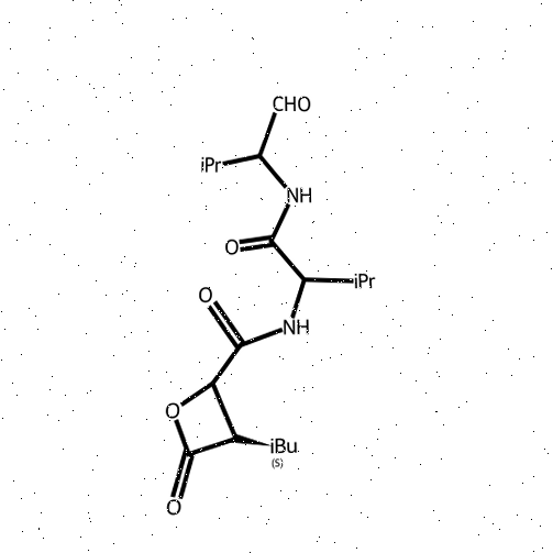 CC[C@H](C)C1C(=O)OC1C(=O)NC(C(=O)NC(C=O)C(C)C)C(C)C